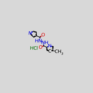 Cc1ccc(C(=O)NNC(=O)c2ccncc2)nc1.Cl